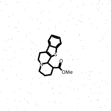 COC(=O)C1CCCN2CCc3c(sc4ccccc34)C12